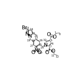 CCOC(=O)c1cc(C(=O)OCC)n(Cc2ccc(Cn3nc(Br)cc3C)cc2[N+](=O)[O-])c1